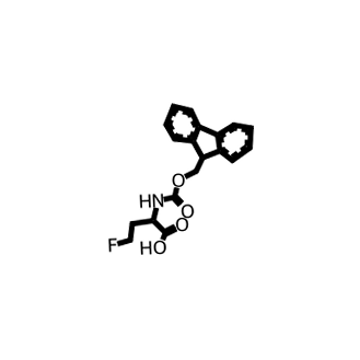 O=C(NC(CCF)C(=O)O)OCC1c2ccccc2-c2ccccc21